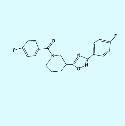 O=C(c1ccc(F)cc1)N1CCCC(c2nc(-c3ccc(F)cc3)no2)C1